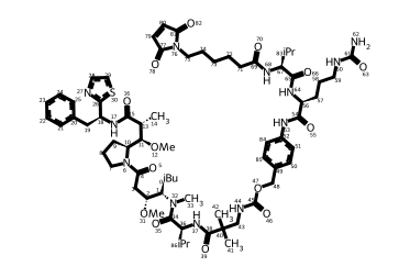 CC[C@H](C)[C@@H]([C@@H](CC(=O)N1CCC[C@H]1[C@H](OC)[C@@H](C)C(=O)N[C@@H](Cc1ccccc1)c1nccs1)OC)N(C)C(=O)[C@@H](NC(=O)C(C)(C)CNC(=O)OCc1ccc(NC(=O)[C@H](CCCNC(N)=O)NC(=O)[C@@H](NC(=O)CCCCCN2C(=O)C=CC2=O)C(C)C)cc1)C(C)C